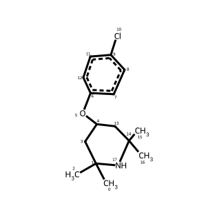 CC1(C)CC(Oc2ccc(Cl)cc2)CC(C)(C)N1